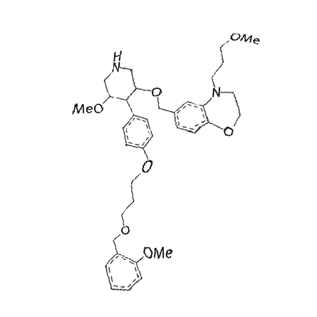 COCCCN1CCOc2ccc(COC3CNCC(OC)C3c3ccc(OCCCOCc4ccccc4OC)cc3)cc21